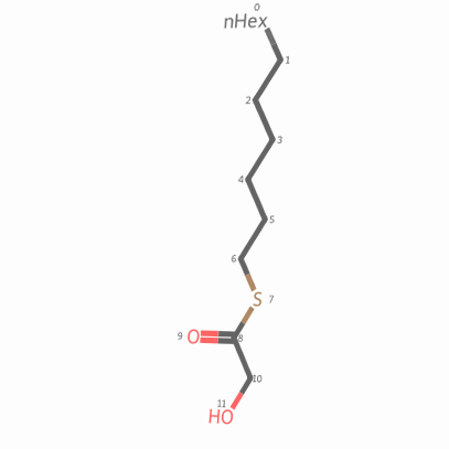 CCCCCCCCCCCCSC(=O)CO